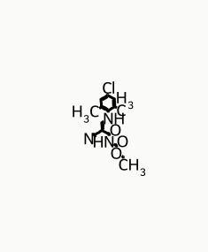 CCOC(=O)NC(=O)C(C#N)=CNc1c(C)cc(Cl)cc1C